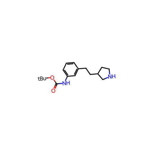 CC(C)(C)OC(=O)Nc1cccc(CCC2CCNC2)c1